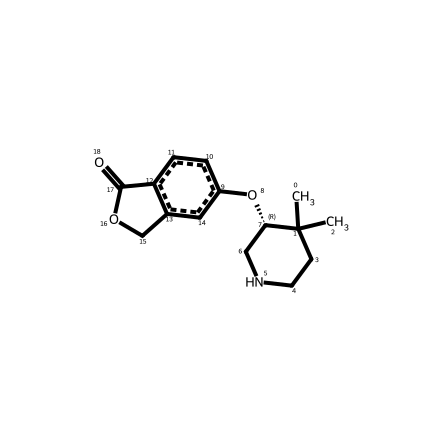 CC1(C)CCNC[C@@H]1Oc1ccc2c(c1)COC2=O